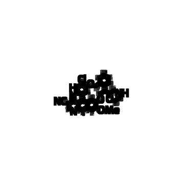 COc1cc2cc3ncc(C#N)c(Nc4ccc(OCc5ccccc5)c(Cl)c4)c3cc2cc1OCCC1CNCCO1